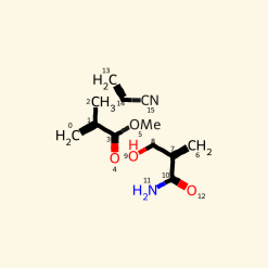 C=C(C)C(=O)OC.C=C(CO)C(N)=O.C=CC#N